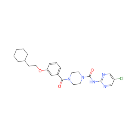 O=C(Nc1ncc(Cl)cn1)N1CCN(C(=O)c2cccc(OCCC3CCCCC3)c2)CC1